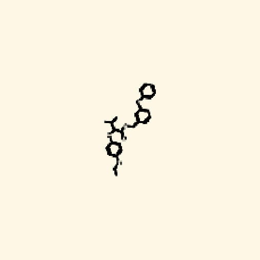 CCOc1ccc(OC(C(=O)OCc2cccc(Oc3ccccc3)c2)C(C)C)cc1